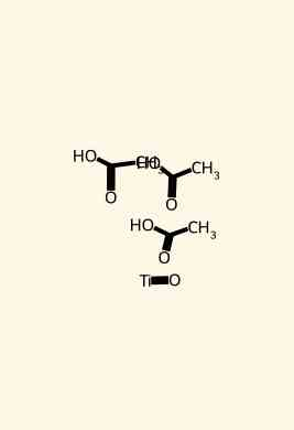 CC(=O)O.CC(=O)O.CC(=O)O.[O]=[Ti]